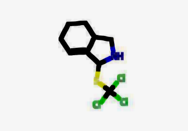 ClC(Cl)(Cl)SC1NCC2CCCC=C21